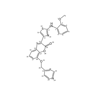 COc1ccccc1Nc1nc(-c2cc3cccc(OCc4ccncc4)c3oc2=O)cs1